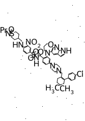 CC(C)N=S1(=O)CCC(CNc2ccc(S(=O)(=O)NC(=O)c3ccc(N4CCN(CC5=C(c6ccc(Cl)cc6)CC(C)(C)CC5)CC4)cc3N3CCCOc4nc5[nH]ccc5cc43)cc2[N+](=O)[O-])CC1